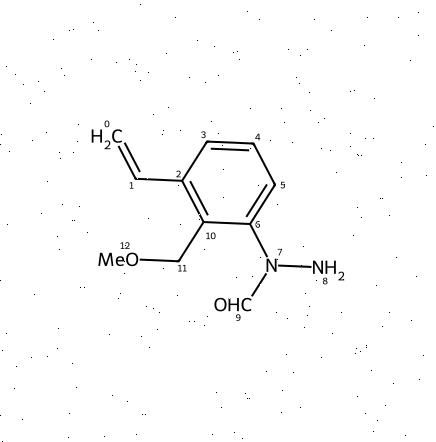 C=Cc1cccc(N(N)C=O)c1COC